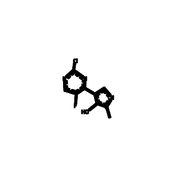 Cn1ncc(-c2nc(Cl)ncc2F)c1O